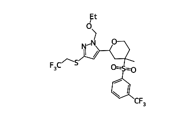 CCOCn1nc(SCC(F)(F)F)cc1C1CC(C)(S(=O)(=O)c2cccc(C(F)(F)F)c2)CCO1